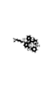 CN(C)C/C=C/CNc1ccc(C(=O)NC2(C)CCCC(Nc3ncc(Cl)c(-c4c[nH]c5ccccc45)n3)C2)cc1